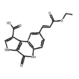 CCOC(=O)/C=C/c1ccc2[nH]c(=O)c3[nH]cc(C(=O)O)c3c2c1